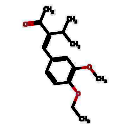 CCOc1ccc(/C=C(/C(C)=O)C(C)C)cc1OC